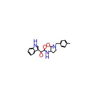 Cc1ccc(CN2CCC(NC(=O)C(=O)c3c[nH]c4ccccc34)C2=O)cc1